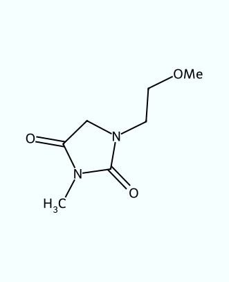 COCCN1CC(=O)N(C)C1=O